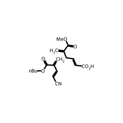 C=C(C=CC#N)C(=O)OCCCC.C=C(CC=CC(=O)O)C(=O)OC